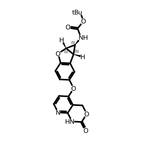 CC(C)(C)OC(=O)N[C@@H]1[C@H]2Oc3ccc(Oc4ccnc5c4COC(=O)N5)cc3[C@@H]12